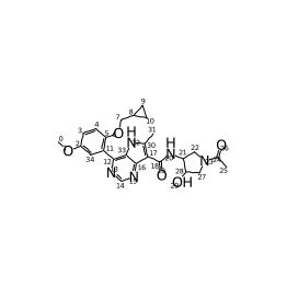 COc1ccc(OCC2CC2)c(-c2ncnc3c(C(=O)NC4CN(C(C)=O)CC4O)c(C)[nH]c23)c1